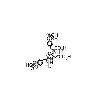 N[C@@H](Cc1ccc(OP(=O)(O)O)cc1)C(=O)N[C@@H](CCC(=O)O)C(=O)N[C@@H](Cc1ccc(OP(=O)(O)O)cc1)C(=O)O